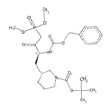 COP(=O)(CC(=O)[C@H](CC1CCCN(C(=O)OC(C)(C)C)C1)NC(=O)OCc1ccccc1)OC